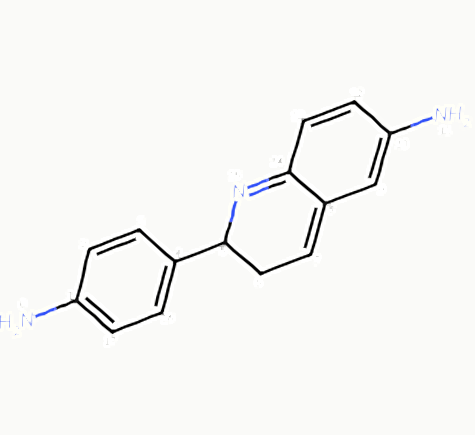 Nc1ccc(C2CC=c3cc(N)ccc3=N2)cc1